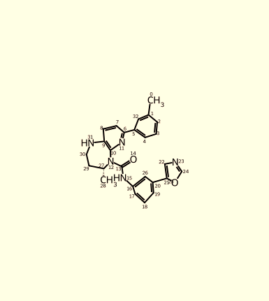 Cc1cccc(-c2ccc3c(n2)N(C(=O)Nc2cccc(-c4cnco4)c2)[C@H](C)CCN3)c1